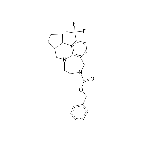 O=C(OCc1ccccc1)N1CCN2CC3CCCC3c3c(C(F)(F)F)ccc(c32)C1